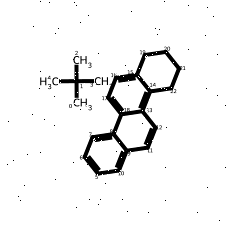 CC(C)(C)C.c1ccc2c(c1)ccc1c3c(ccc12)CCCC3